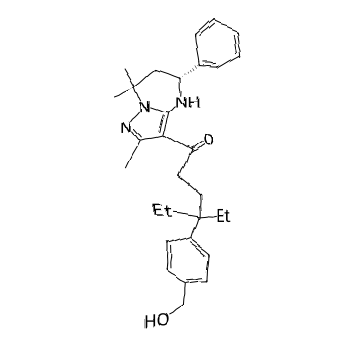 CCC(CC)(CCC(=O)c1c(C)nn2c1N[C@@H](c1ccccc1)CC2(C)C)c1ccc(CO)cc1